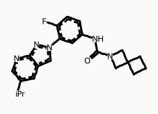 CC(C)c1cnc2nn(-c3cc(NC(=O)N4CC5(CCC5)C4)ccc3F)cc2c1